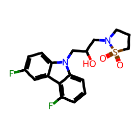 O=S1(=O)CCCN1CC(O)Cn1c2ccc(F)cc2c2c(F)cccc21